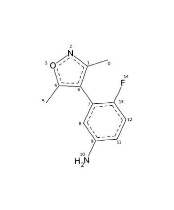 Cc1noc(C)c1-c1cc(N)ccc1F